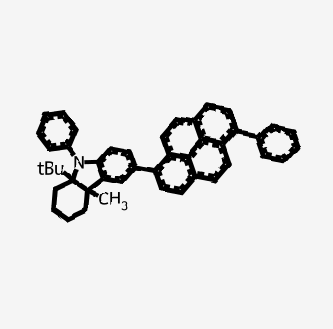 CC(C)(C)C12CCCCC1(C)c1cc(-c3ccc4ccc5c(-c6ccccc6)ccc6ccc3c4c65)ccc1N2c1ccccc1